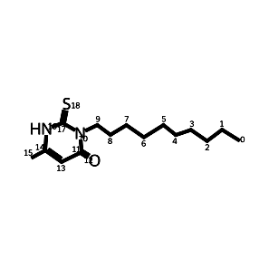 CCCCCCCCCCn1c(=O)cc(C)[nH]c1=S